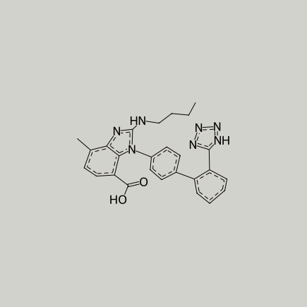 CCCCNc1nc2c(C)ccc(C(=O)O)c2n1-c1ccc(-c2ccccc2-c2nnn[nH]2)cc1